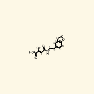 O=C(C=C(O)C(=O)O)NCCc1ccc2c(c1)OCO2